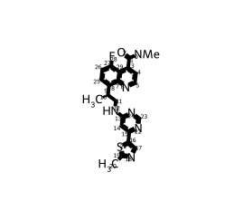 CNC(=O)c1ccnc2c([C@H](C)CNc3cc(-c4cnc(C)s4)ncn3)ccc(F)c12